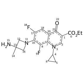 CCOC(=O)c1cn(C2CC2)c2c(F)c(N3CC(C)(N)C3)c(F)cc2c1=O